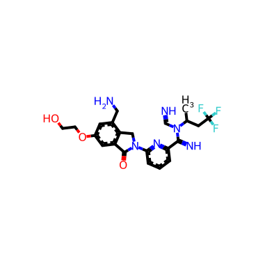 CC(CC(F)(F)F)N(C=N)C(=N)c1cccc(N2Cc3c(CN)cc(OCCO)cc3C2=O)n1